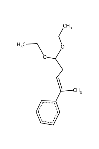 CCOC(CC=C(C)c1ccccc1)OCC